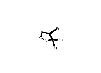 CCC1COOC1(C)C